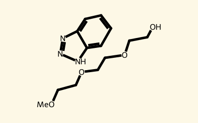 COCCOCCOCCO.c1ccc2[nH]nnc2c1